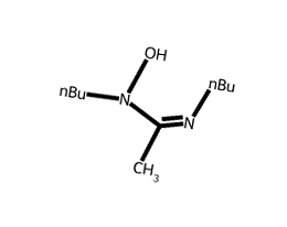 CCCCN=C(C)N(O)CCCC